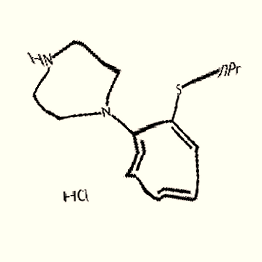 CCCSc1ccccc1N1CCNCC1.Cl